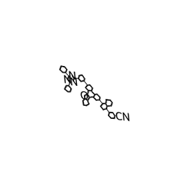 N#Cc1cccc(-c2ccc(-c3ccc4c5ccc(-c6cccc(-c7nc(-c8ccccc8)nc(-c8ccccc8)n7)c6)cc5c5oc6ccccc6c5c4c3)c3ccccc23)c1